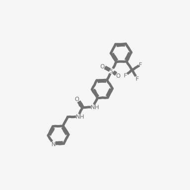 O=C(NCc1ccncc1)Nc1ccc(S(=O)(=O)c2ccccc2C(F)(F)F)cc1